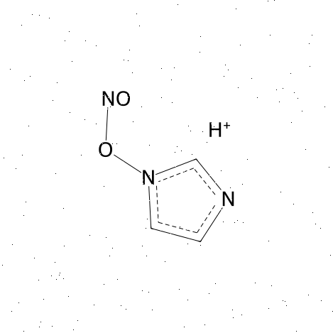 O=NOn1ccnc1.[H+]